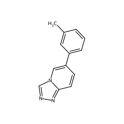 Cc1cccc(-c2ccc3nncn3c2)c1